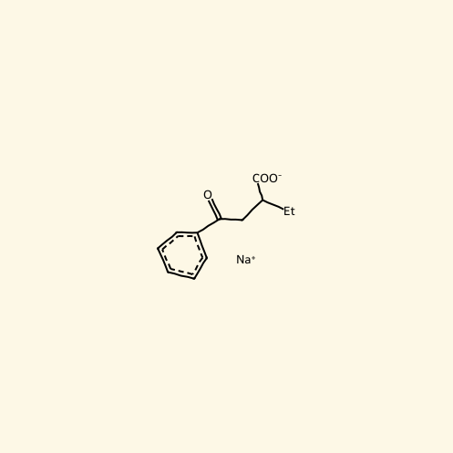 CCC(CC(=O)c1ccccc1)C(=O)[O-].[Na+]